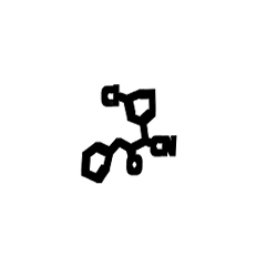 N#CC(C(=O)Cc1ccccc1)c1cccc(Cl)c1